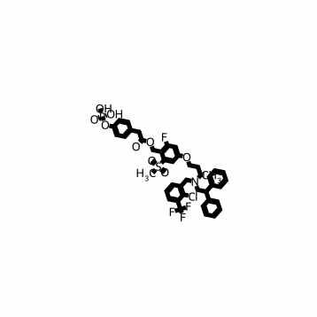 C[C@H](CCOc1cc(F)c(COC(=O)Cc2ccc(OP(=O)(O)O)cc2)c(S(C)(=O)=O)c1)N(Cc1cccc(C(F)(F)F)c1Cl)CC(c1ccccc1)c1ccccc1